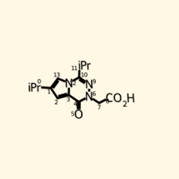 CC(C)c1cc2c(=O)n(CC(=O)O)nc(C(C)C)n2c1